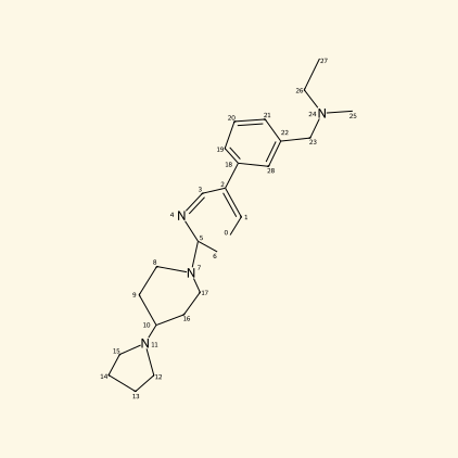 C/C=C(\C=N/C(C)N1CCC(N2CCCC2)CC1)c1cccc(CN(C)CC)c1